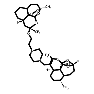 C[C@@H]1CC[C@H]2C(CN3CCN(CCO[C@]4(C(F)(F)F)C[C@@H]5CCCC6CC[C@]7(C)OO[C@]65[C@@H](O7)O4)CC3)=C(C(F)(F)F)O[C@@H]3O[C@H]4CCC1[C@]32OO4